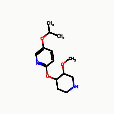 COC1CNCCC1Oc1ccc(OC(C)C)cn1